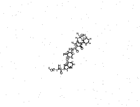 COCCNC(=O)c1cc2nccc(Oc3ccc(NC(=O)c4c(C)n(CC(C)(C)O)n(-c5ccccc5)c4=O)cc3F)c2s1